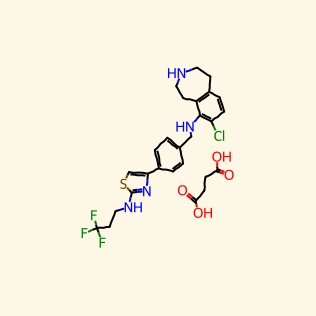 FC(F)(F)CCNc1nc(-c2ccc(CNc3c(Cl)ccc4c3CCNCC4)cc2)cs1.O=C(O)CCC(=O)O